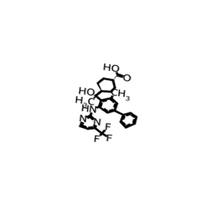 Cc1cc(-c2ccccc2)cc(Nc2nccc(C(F)(F)F)n2)c1[C@](C)(O)[C@H]1CC[C@H](C(=O)O)CC1